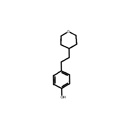 Oc1ccc(CCC2CCOCC2)cc1